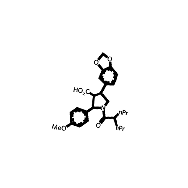 CCCC(CCC)C(=O)N1CC(c2ccc3c(c2)OCO3)C(C(=O)O)C1c1ccc(OC)cc1